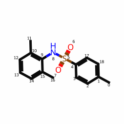 Cc1ccc(S(=O)(=O)Nc2c(C)cccc2C)cc1